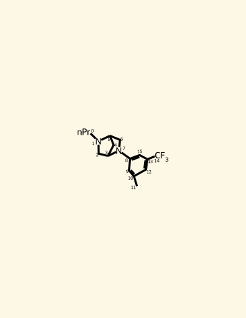 CCCN1CC2CC1CN2c1cc(C)cc(C(F)(F)F)c1